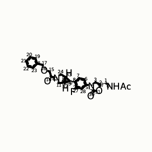 CC(=O)NC[C@H]1CN(c2ccc([C@H]3[C@@H]4CN(C(=O)COCc5ccccc5)C[C@@H]43)c(F)c2)C(=O)O1